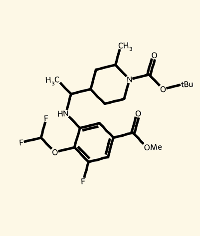 COC(=O)c1cc(F)c(OC(F)F)c(NC(C)C2CCN(C(=O)OC(C)(C)C)C(C)C2)c1